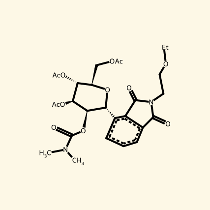 CCOCCN1C(=O)c2cccc([C@H]3O[C@H](COC(C)=O)[C@@H](OC(C)=O)[C@H](OC(C)=O)[C@@H]3OC(=O)N(C)C)c2C1=O